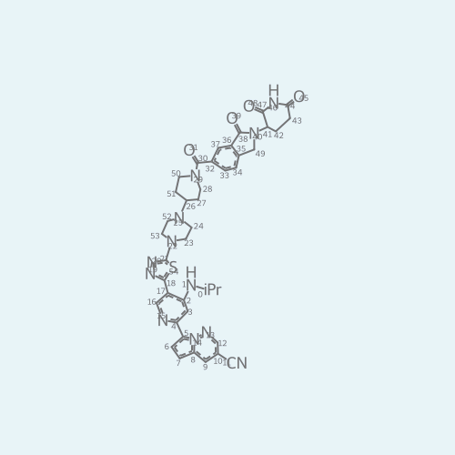 CC(C)Nc1cc(-c2ccc3cc(C#N)cnn23)ncc1-c1nnc(N2CCN(C3CCN(C(=O)c4ccc5c(c4)C(=O)N(C4CCC(=O)NC4=O)C5)CC3)CC2)s1